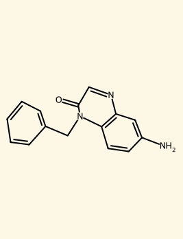 Nc1ccc2c(c1)ncc(=O)n2Cc1ccccc1